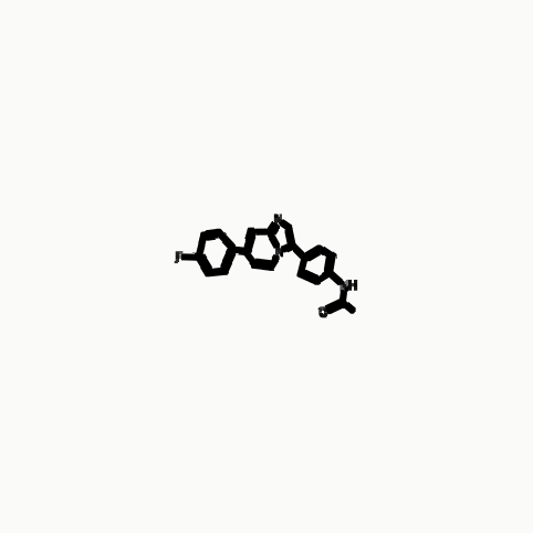 CC(=O)Nc1ccc(-c2cnc3cc(-c4ccc(F)cc4)ccn23)cc1